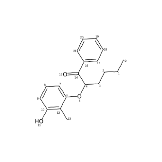 CCCCC(Oc1cccc(O)c1C)C(=O)c1ccccc1